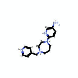 Nc1ccc(N2CCCN(Cc3ccncc3)CC2)nc1